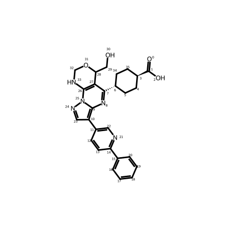 O=C(O)[C@H]1CC[C@H](c2nc3c(-c4ccc(-c5ccccc5)nc4)cnn3c3c2C(CO)OCN3)CC1